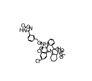 CS(=O)(=O)NC1CCCC[C@@H]1N1C(=O)c2ccccc2[C@@H](C(=O)NOCc2cccc(-c3noc(=O)[nH]3)c2)[C@@H]1c1ccc(Cl)cc1Cl